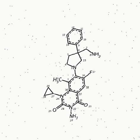 Cc1c(N2CCC(CN)(c3ccccc3)C2)c(F)cc2c(=O)n(N)c(=O)n(C3CC3)c12